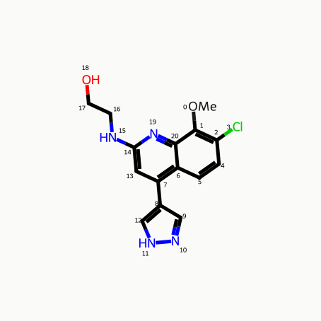 COc1c(Cl)ccc2c(-c3cn[nH]c3)cc(NCCO)nc12